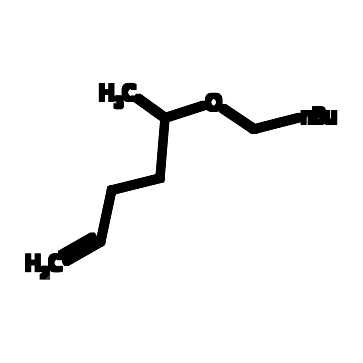 C=CCCC(C)OCCCCC